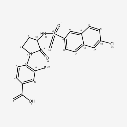 C=C(O)c1ccc(N2CCC(NS(=O)(=O)c3ccc4cc(Cl)ccc4c3)C2=O)c(F)c1